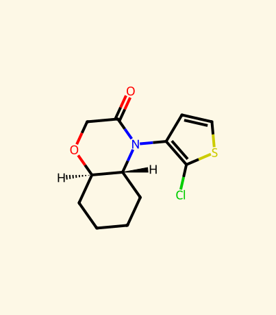 O=C1CO[C@@H]2CCCC[C@H]2N1c1ccsc1Cl